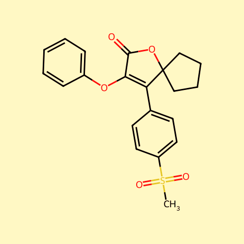 CS(=O)(=O)c1ccc(C2=C(Oc3ccccc3)C(=O)OC23CCCC3)cc1